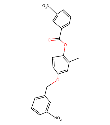 Cc1cc(OCc2cccc([N+](=O)[O-])c2)ccc1OC(=O)c1cccc([N+](=O)[O-])c1